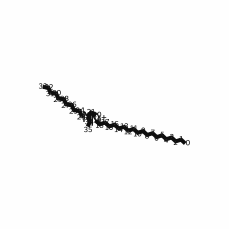 CCCCCCCCCCCCCCCCCCC[n+]1ccn(CCCCCCCCCCC)c1C